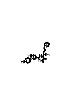 Cc1nc(C2=CN(C3CCNCC3)NC2)nc(NCCCN2CCCC2)c1C